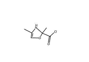 CC1=COC(C)(C(=O)Cl)N1